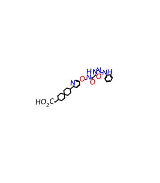 O=C(O)CC1CCC2(CC1)CCC(c1ccc(OCNC(=O)c3nnc(Nc4ccccc4)o3)cn1)CC2